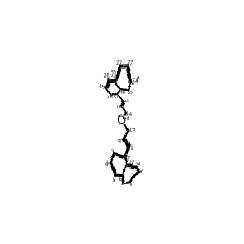 C(=Cc1cccc2ccccc12)COCC=Cc1cccc2ccccc12